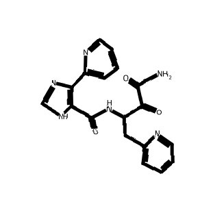 NC(=O)C(=O)C(Cc1ccccn1)NC(=O)c1[nH]cnc1-c1ccccn1